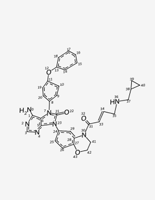 Nc1ncnc2c1n(-c1ccc(Oc3ccccc3)cc1)c(=O)n2-c1ccc2c(c1)N(C(=O)/C=C/CNCC1CC1)CCO2